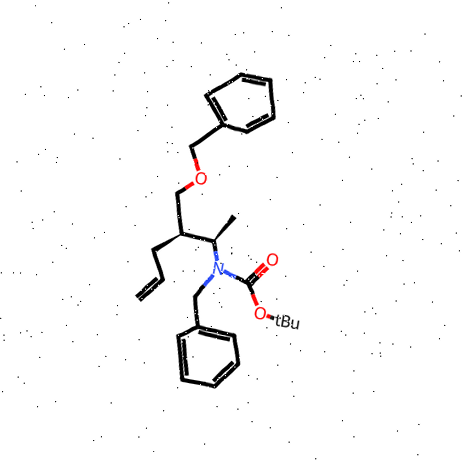 C=CC[C@@H](COCc1ccccc1)[C@@H](C)N(Cc1ccccc1)C(=O)OC(C)(C)C